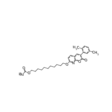 CCC(C)C(=O)OCCCCCCCCCCCOc1ccc2cc(-c3cc(C)ccc3C)c(=O)oc2n1